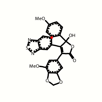 COc1ccc(C2(O)OC(=O)C(c3cc(OC)c4c(c3)OCO4)=C2c2ccc3nsnc3c2)cc1